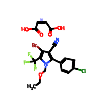 CCOCn1c(-c2ccc(Cl)cc2)c(C#N)c(Br)c1C(F)(F)F.O=C(O)/C=C\C(=O)O